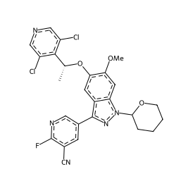 COc1cc2c(cc1O[C@H](C)c1c(Cl)cncc1Cl)c(-c1cnc(F)c(C#N)c1)nn2C1CCCCO1